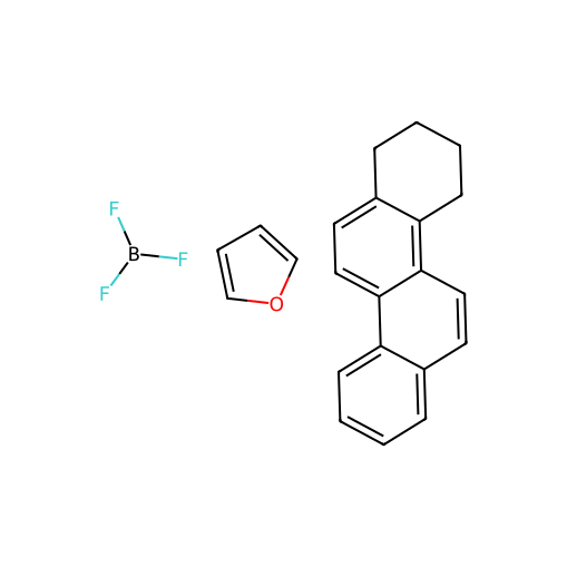 FB(F)F.c1ccc2c(c1)ccc1c3c(ccc12)CCCC3.c1ccoc1